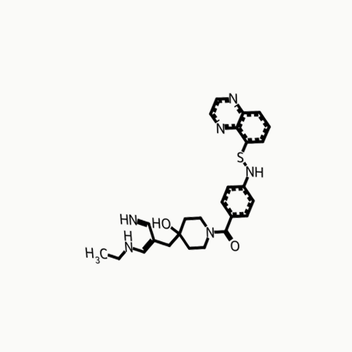 CCN/C=C(\C=N)CC1(O)CCN(C(=O)c2ccc(NSc3cccc4nccnc34)cc2)CC1